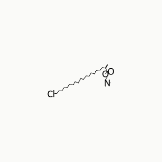 C=C(CCCCCCCCCCCCCCCCCCCl)C(=O)OCCN(C)C